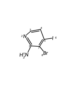 Nc1nccc(I)c1Br